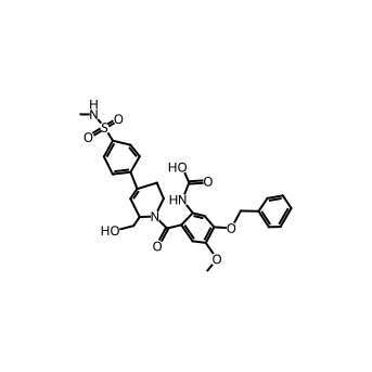 CNS(=O)(=O)c1ccc(C2=CC(CO)N(C(=O)c3cc(OC)c(OCc4ccccc4)cc3NC(=O)O)CC2)cc1